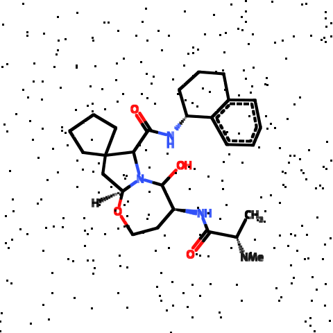 CN[C@@H](C)C(=O)N[C@H]1CCO[C@H]2CC3(CCCC3)C(C(=O)N[C@@H]3CCCc4ccccc43)N2C1O